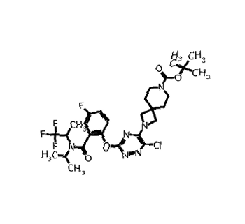 CC(C)N(C(=O)c1cc(F)ccc1Oc1nnc(Cl)c(N2CC3(CCN(C(=O)OC(C)(C)C)CC3)C2)n1)C(C)C(F)(F)F